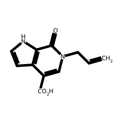 C=CCn1cc(C(=O)O)c2cc[nH]c2c1=O